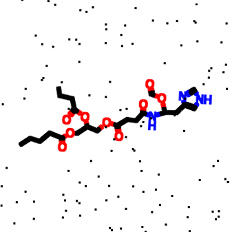 CCCCC(=O)OCC(COC(=O)CCC(=O)NC(Cc1c[nH]cn1)OC=O)OC(=O)CCC